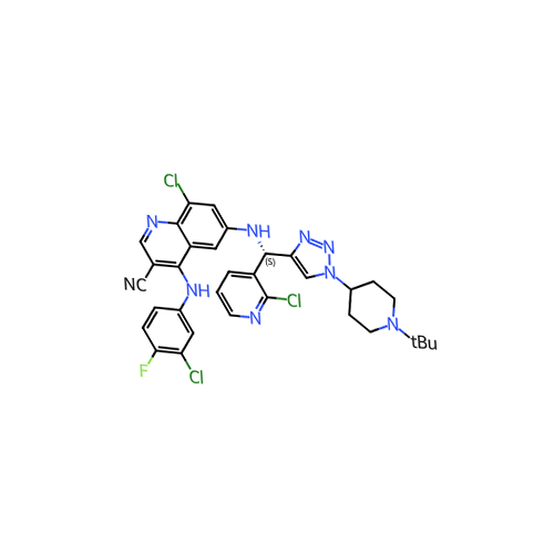 CC(C)(C)N1CCC(n2cc([C@@H](Nc3cc(Cl)c4ncc(C#N)c(Nc5ccc(F)c(Cl)c5)c4c3)c3cccnc3Cl)nn2)CC1